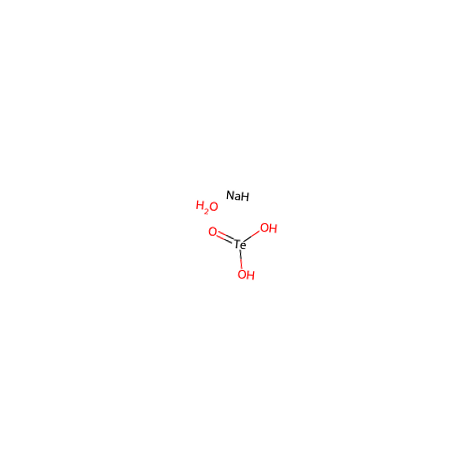 O.O=[Te](O)O.[NaH]